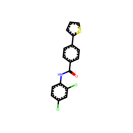 O=C(Nc1ccc(Cl)cc1Cl)c1ccc(-c2cccs2)cc1